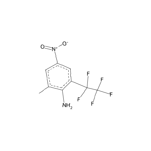 Cc1cc([N+](=O)[O-])cc(C(F)(F)C(F)(F)F)c1N